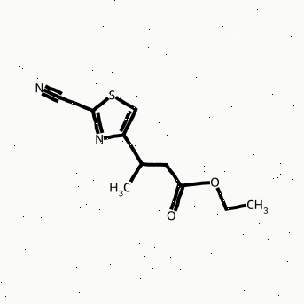 CCOC(=O)CC(C)c1csc(C#N)n1